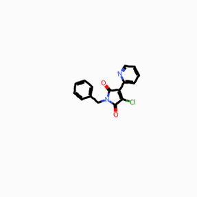 O=C1C(Cl)=C(c2ccccn2)C(=O)N1Cc1ccccc1